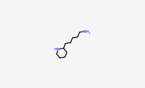 NCCCCCC1CCCCN1